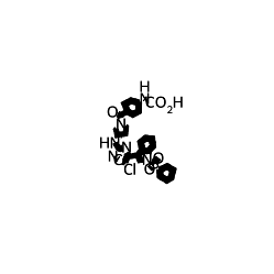 O=C(O)Nc1ccc(C(=O)N2CC[C@H](Nc3ncc(Cl)c(-c4cn(S(=O)(=O)c5ccccc5)c5ccccc45)n3)C2)cc1